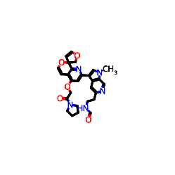 Cn1cc(-c2cc(OCC(=O)N3CCCC3)c3c(n2)C2(C=COC2)OC=C3)c2cc(CCNC=O)ncc21